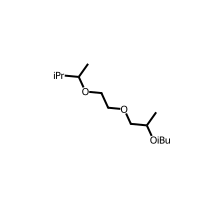 CC(C)COC(C)COCCOC(C)C(C)C